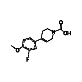 COc1ccc(C2=CCN(C(=O)O)CC2)cc1F